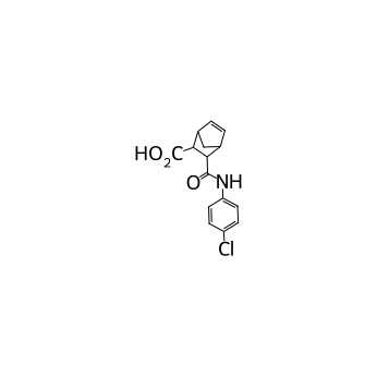 O=C(O)C1C2C=CC(C2)C1C(=O)Nc1ccc(Cl)cc1